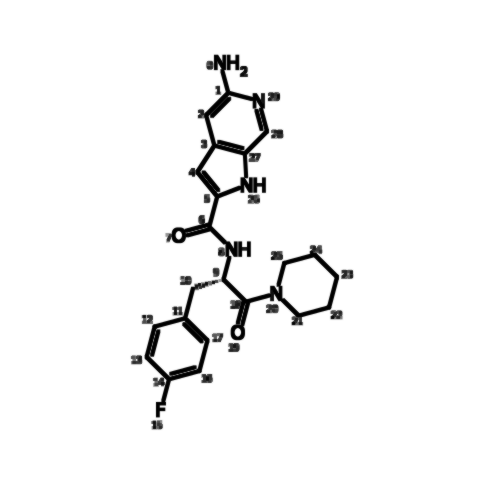 Nc1cc2cc(C(=O)N[C@@H](Cc3ccc(F)cc3)C(=O)N3CCCCC3)[nH]c2cn1